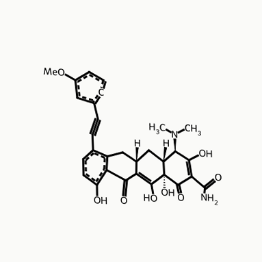 COc1cccc(C#Cc2ccc(O)c3c2C[C@@H]2C[C@@H]4[C@@H](N(C)C)C(O)=C(C(N)=O)C(=O)[C@@]4(O)C(O)=C2C3=O)c1